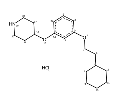 Cl.c1cc(OCCC2CCCCC2)cc(OC2CCNCC2)c1